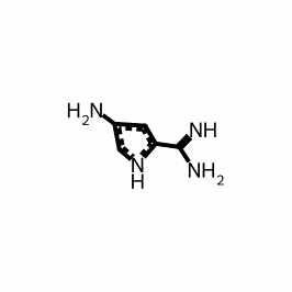 N=C(N)c1cc(N)c[nH]1